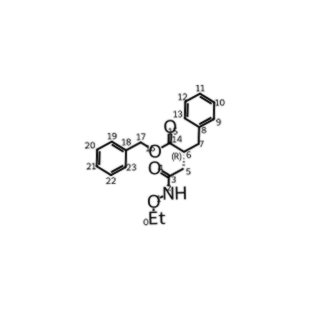 CCONC(=O)C[C@@H](Cc1ccccc1)C(=O)OCc1ccccc1